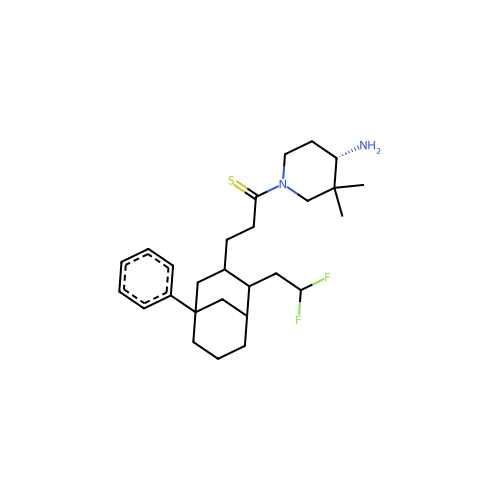 CC1(C)CN(C(=S)CCC2CC3(c4ccccc4)CCCC(C3)C2CC(F)F)CC[C@@H]1N